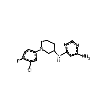 Nc1cc(NC2CCCN(c3ccc(F)c(Cl)c3)C2)ncn1